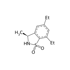 CCc1cc(CC)c2c(c1)[C@H](C)NS2(=O)=O